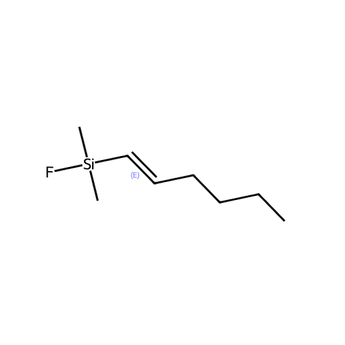 CCCC/C=C/[Si](C)(C)F